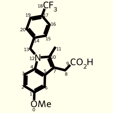 COc1ccc2c(c1)c(CC(=O)O)c(C)n2Cc1ccc(C(F)(F)F)cc1